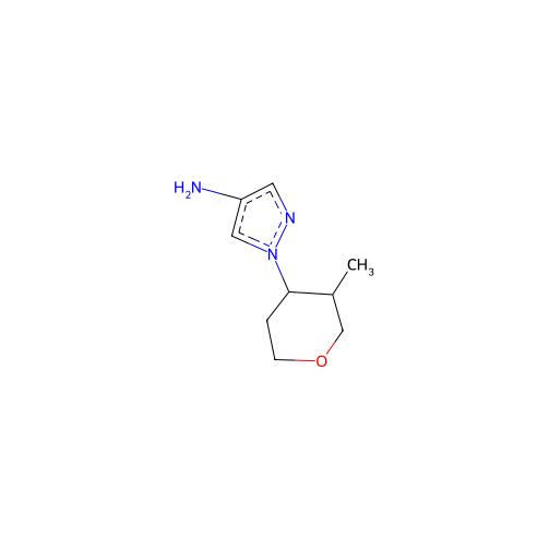 CC1COCCC1n1cc(N)cn1